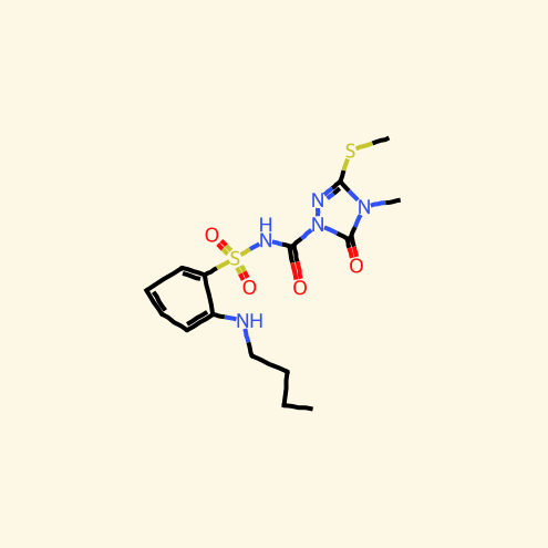 CCCCNc1ccccc1S(=O)(=O)NC(=O)n1nc(SC)n(C)c1=O